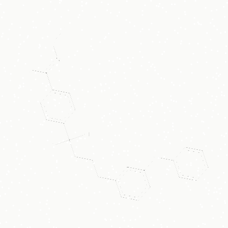 CO/N=C(\C)c1ccc(C(C)(C)CCCc2cccc(Oc3ccccc3)c2)cc1